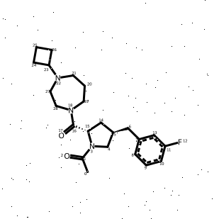 CC(=O)N1C[C@H](Cc2cccc(F)c2)C[C@H]1C(=O)N1CCCN(C2CCC2)CC1